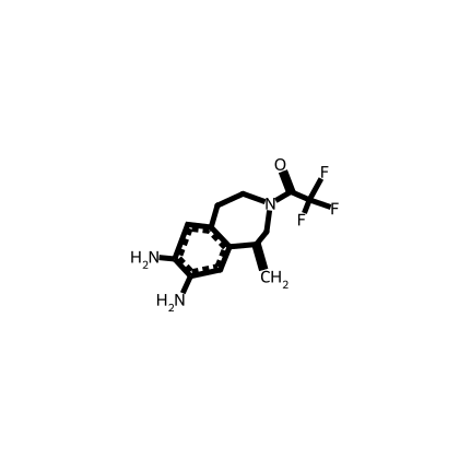 C=C1CN(C(=O)C(F)(F)F)CCc2cc(N)c(N)cc21